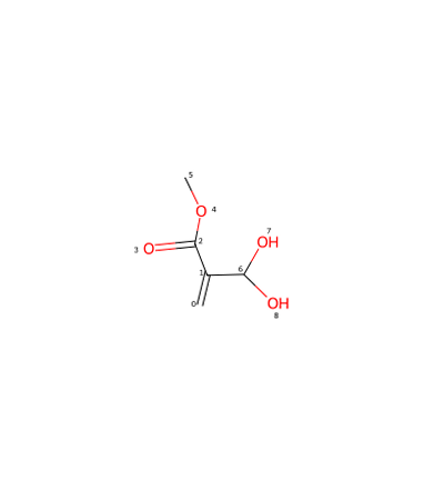 C=C(C(=O)OC)C(O)O